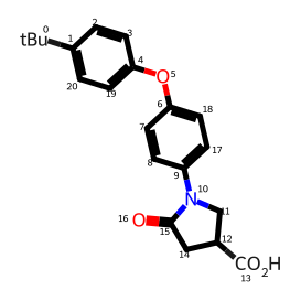 CC(C)(C)c1ccc(Oc2ccc(N3CC(C(=O)O)CC3=O)cc2)cc1